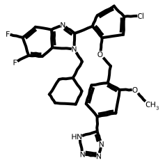 COc1cc(-c2nnn[nH]2)ccc1COc1cc(Cl)ccc1-c1nc2cc(F)c(F)cc2n1CC1CCCCC1